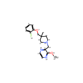 CC1(COc2ccccc2F)CCN(Cc2nccnc2OC(C)(C)C)CC1